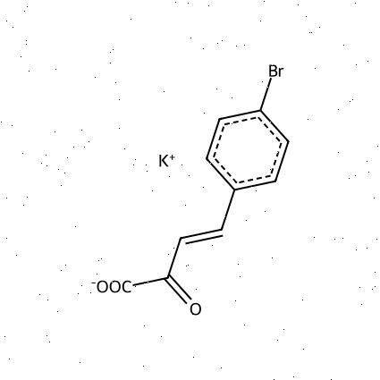 O=C([O-])C(=O)C=Cc1ccc(Br)cc1.[K+]